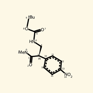 CNC(=O)[C@@H](CNC(=O)OC(C)(C)C)c1ccc([N+](=O)[O-])cc1